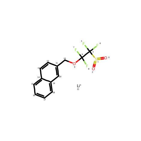 O=[S-](=O)C(F)(F)C(F)(F)OCc1ccc2ccccc2c1.[Li+]